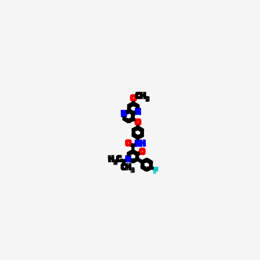 COc1cnc2c(Oc3ccc(NC(=O)c4cn(C(C)C)cc(-c5ccc(F)cc5)c4=O)cc3)ccnc2c1